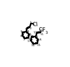 ClCC=Cc1ccccc1.FC(F)(F)C=Cc1ccccc1